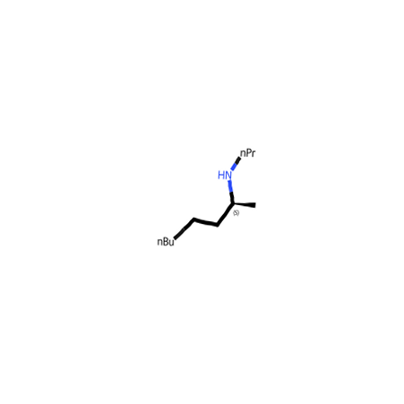 CCCCCC[C@H](C)NCCC